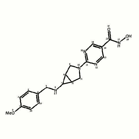 COc1ccc(CNC2C3CN(c4ncc(C(=O)NO)cn4)CC32)cc1